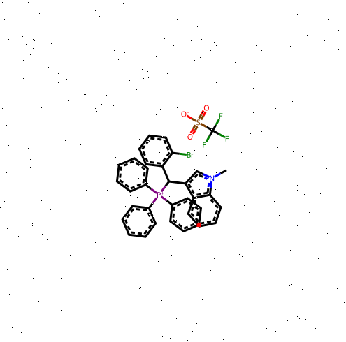 Cn1cc(C(c2ccccc2Br)[P+](c2ccccc2)(c2ccccc2)c2ccccc2)c2ccccc21.O=S(=O)([O-])C(F)(F)F